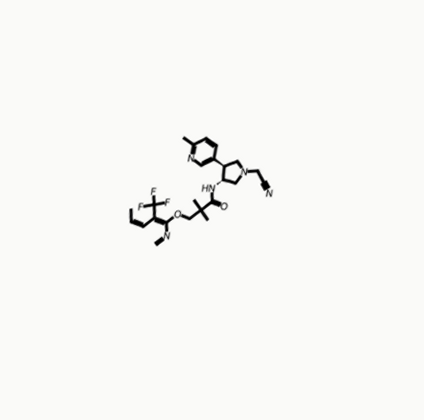 C=N/C(OCC(C)(C)C(=O)N[C@H]1CN(CC#N)C[C@@H]1c1ccc(C)nc1)=C(\C=C/C)C(F)(F)F